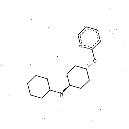 c1ccc(O[C@H]2CC[C@H](NC3CCCCC3)CC2)nc1